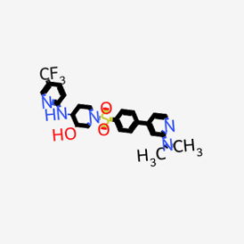 CN(C)c1cc(-c2ccc(S(=O)(=O)N3CC[C@@H](Nc4ccc(C(F)(F)F)cn4)[C@@H](O)C3)cc2)ccn1